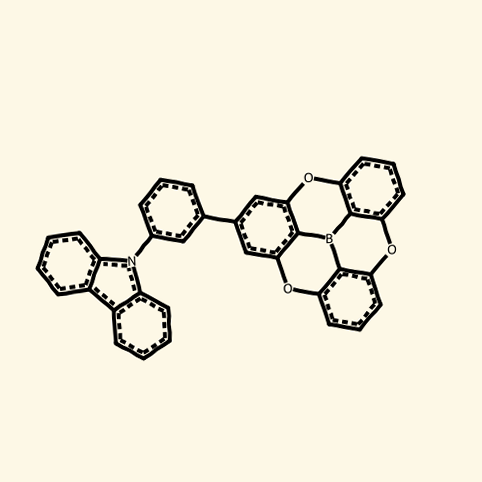 c1cc(-c2cc3c4c(c2)Oc2cccc5c2B4c2c(cccc2O3)O5)cc(-n2c3ccccc3c3ccccc32)c1